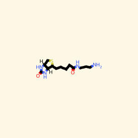 NCCCNC(=O)CCCCC1SC[C@@H]2NC(=O)N[C@H]12